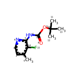 Cc1ccnc(NC(=O)OC(C)(C)C)c1F